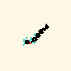 Fc1cc(-c2ccc(CCC3CC3)cc2)ccc1-c1cc(F)c(C(F)(F)Oc2cc(F)c(F)c(F)c2)c(F)c1